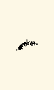 O[C@@H]1CO[C@H]2[C@@H]1OC[C@H]2Oc1nc2nc(N[C@H]3CCc4cc(Br)cc(F)c43)c(Cl)cc2[nH]1